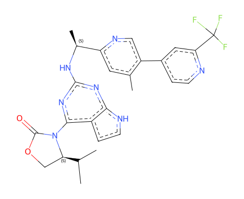 Cc1cc([C@H](C)Nc2nc(N3C(=O)OC[C@@H]3C(C)C)c3cc[nH]c3n2)ncc1-c1ccnc(C(F)(F)F)c1